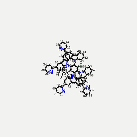 CC(C)(C)c1c(-n2c3ccc(-c4ccccn4)cc3c3cc(-c4ccccn4)ccc32)c(-n2c3ccccc3c3ccccc32)c(F)c(-n2c3ccccc3c3ccccc32)c1-n1c2ccc(-c3ccccn3)cc2c2cc(-c3ccccn3)ccc21